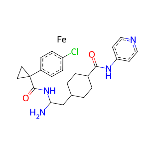 NC(CC1CCC(C(=O)Nc2ccncc2)CC1)NC(=O)C1(c2ccc(Cl)cc2)CC1.[Fe]